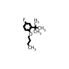 CCCCOc1ccc(F)cc1C(C)(C)C